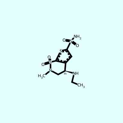 CCN[C@H]1CN(C)S(=O)(=O)c2sc(S(N)(=O)=O)cc21